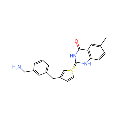 Cc1ccc2[nH]c(=S3C=CC(Cc4cccc(CN)c4)=C3)[nH]c(=O)c2c1